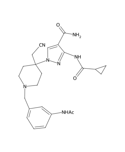 CC(=O)Nc1cccc(CN2CCC(CC#N)(n3cc(C(N)=O)c(NC(=O)C4CC4)n3)CC2)c1